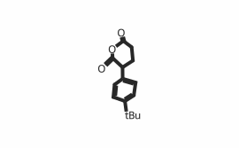 CC(C)(C)c1ccc(C2CCC(=O)OC2=O)cc1